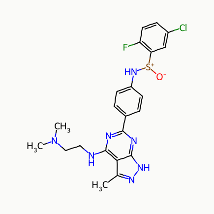 Cc1n[nH]c2nc(-c3ccc(N[S+]([O-])c4cc(Cl)ccc4F)cc3)nc(NCCN(C)C)c12